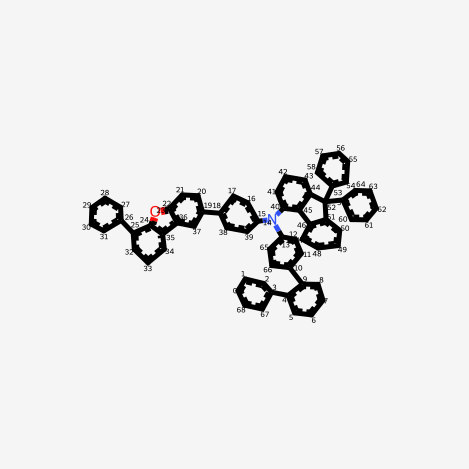 c1ccc(-c2ccccc2-c2ccc(N(c3ccc(-c4ccc5oc6c(-c7ccccc7)cccc6c5c4)cc3)c3cccc4c3-c3ccccc3C4(c3ccccc3)c3ccccc3)cc2)cc1